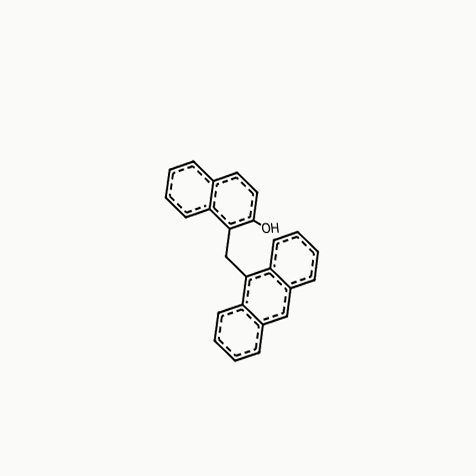 Oc1ccc2ccccc2c1Cc1c2ccccc2cc2ccccc12